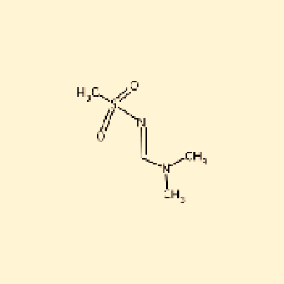 CN(C)C=NS(C)(=O)=O